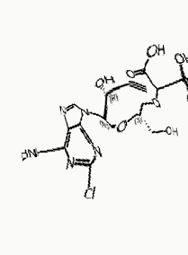 C#C[C@@H](O)[C@@H](O[C@@H](CO)COC(C(=O)O)C(=O)O)n1cnc2c(NC)nc(Cl)nc21